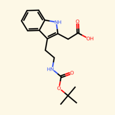 CC(C)(C)OC(=O)NCCc1c(CC(=O)O)[nH]c2ccccc12